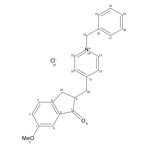 COc1ccc2c(c1)C(=O)C(Cc1cc[n+](Cc3ccccc3)cc1)C2.[Cl-]